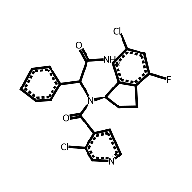 NC(=O)C(c1ccccc1)N(C(=O)c1ccncc1Cl)[C@@H]1CCc2c(F)cc(Cl)cc21